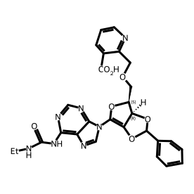 CCNC(=O)Nc1ncnc2c1ncn2C1=C2OC(c3ccccc3)O[C@@H]2[C@H](COCc2ncccc2C(=O)O)O1